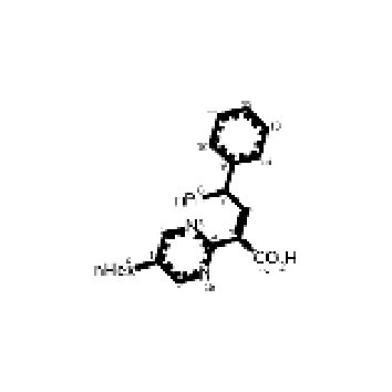 CCCCCCc1cnc(/C(=C\C(CCC)c2ccccc2)C(=O)O)nc1